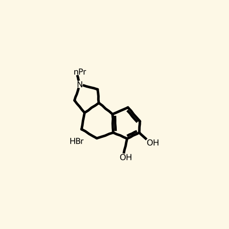 Br.CCCN1CC2CCc3c(ccc(O)c3O)C2C1